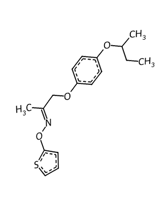 CCC(C)Oc1ccc(OCC(C)=NOc2cccs2)cc1